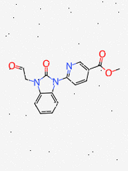 COC(=O)c1ccc(-n2c(=O)n(CC=O)c3ccccc32)nc1